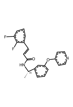 C[C@H](NC(=O)C=Cc1cccc(F)c1F)c1cccc(Oc2ccncc2)c1